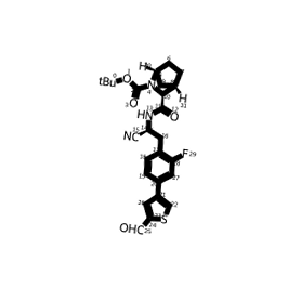 CC(C)(C)OC(=O)N1[C@@H]2CC[C@@H](C2)[C@H]1C(=O)N[C@H](C#N)Cc1ccc(-c2csc(C=O)c2)cc1F